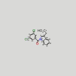 O=C(O)Cc1cn(C(=O)c2cc(Cl)cc(Cl)c2)c2ccccc12